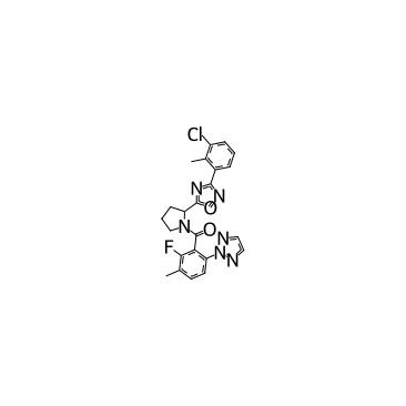 Cc1ccc(-n2nccn2)c(C(=O)N2CCCC2c2nc(-c3cccc(Cl)c3C)no2)c1F